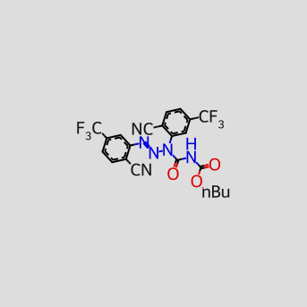 CCCCOC(=O)NC(=O)N(N=Nc1cc(C(F)(F)F)ccc1C#N)c1cc(C(F)(F)F)ccc1C#N